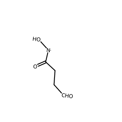 O=CCCC(=O)[N]O